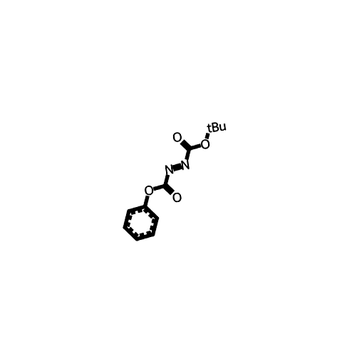 CC(C)(C)OC(=O)/N=N/C(=O)Oc1ccccc1